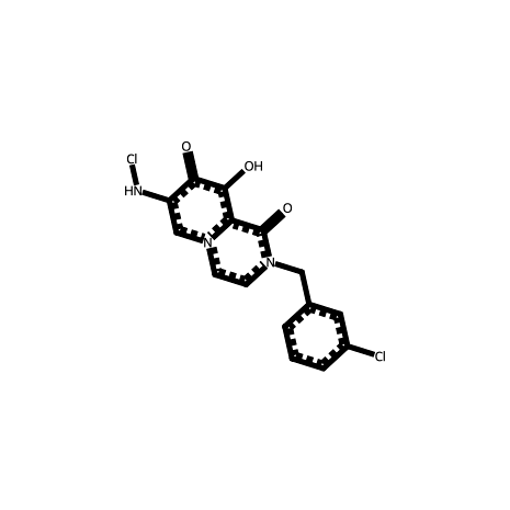 O=c1c(NCl)cn2ccn(Cc3cccc(Cl)c3)c(=O)c2c1O